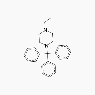 CCN1CCN(C(c2ccccc2)(c2ccccc2)c2ccccc2)CC1